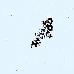 Cc1c(F)cnc(C(C)(C)NC(=O)[C@@H]2CN(C(=O)OC(C)(C)C)[C@H](CO[Si](c3ccccc3)(c3ccccc3)C(C)(C)C)CO2)c1F